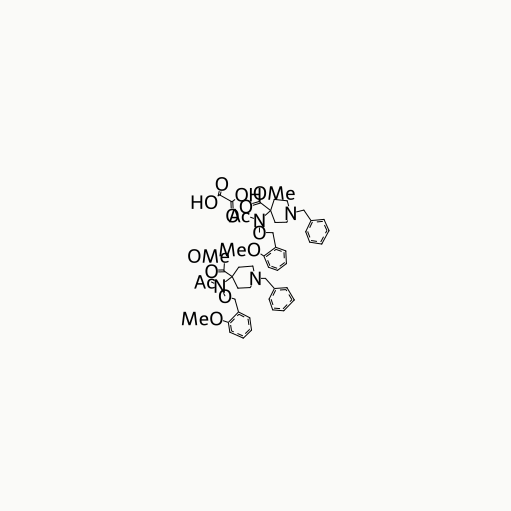 COC(=O)C1(N(OCc2ccccc2OC)C(C)=O)CCN(Cc2ccccc2)CC1.COC(=O)C1(N(OCc2ccccc2OC)C(C)=O)CCN(Cc2ccccc2)CC1.O=C(O)C(=O)O